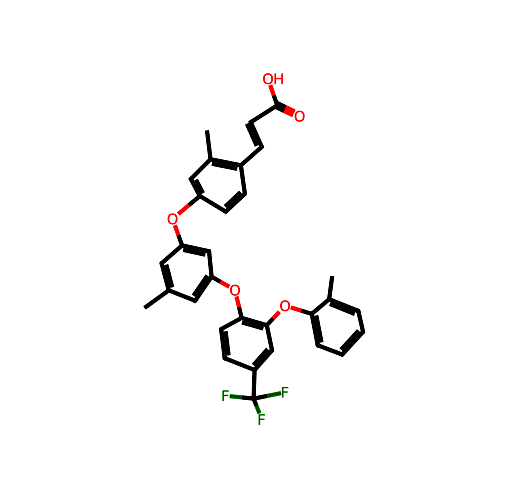 Cc1cc(Oc2ccc(/C=C/C(=O)O)c(C)c2)cc(Oc2ccc(C(F)(F)F)cc2Oc2ccccc2C)c1